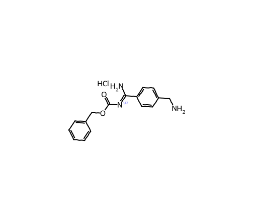 Cl.NCc1ccc(/C(N)=N/C(=O)OCc2ccccc2)cc1